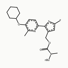 CCCCN(C)C(=O)OCc1cc(F)sc1-c1ccc(OC2CCCCC2)c(C)n1